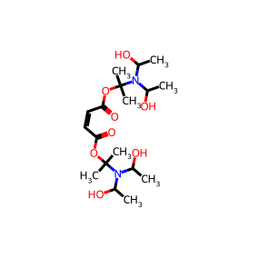 CC(O)N(C(C)O)C(C)(C)OC(=O)/C=C\C(=O)OC(C)(C)N(C(C)O)C(C)O